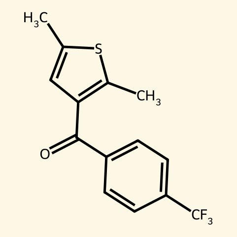 Cc1cc(C(=O)c2ccc(C(F)(F)F)cc2)c(C)s1